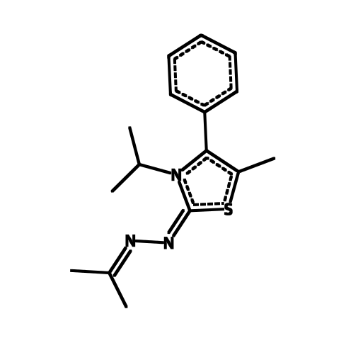 CC(C)=NN=c1sc(C)c(-c2ccccc2)n1C(C)C